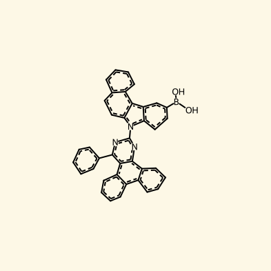 OB(O)c1ccc2c(c1)c1c3ccccc3ccc1n2-c1nc(-c2ccccc2)c2c3ccccc3c3ccccc3c2n1